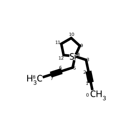 CC#CC[Si]1(CC#CC)CCCC1